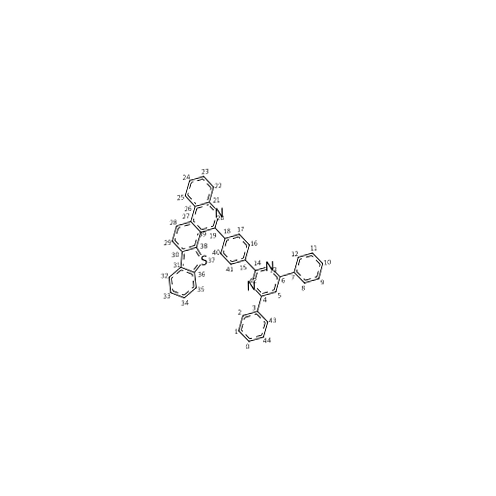 c1ccc(-c2cc(-c3ccccc3)nc(-c3ccc(-c4nc5ccccc5c5ccc6c7ccccc7sc6c45)cc3)n2)cc1